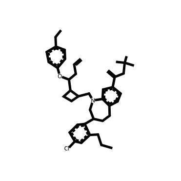 C=CCC(Oc1ccc(CC)cc1)C1CCC1CN1CC(c2ccc(Cl)cc2CCC)CCc2ccc(C(=C)CC(C)(C)C)cc21